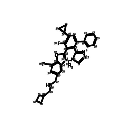 Cn1cnnc1-c1c(-c2ccccc2)cc(C2CC2)c(F)c1-c1nc2cc(CNCC3CCC3)cc(F)c2o1